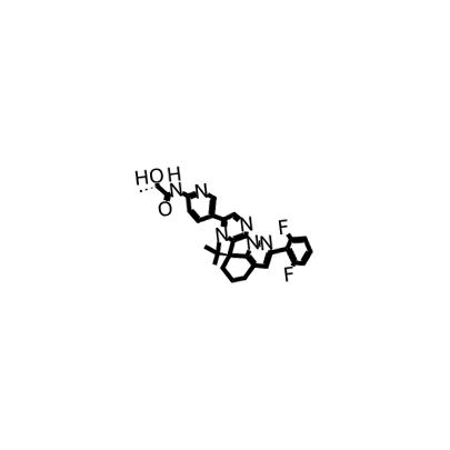 C[C@H](O)C(=O)Nc1ccc(-c2cncc([C@@]3(C(C)(C)C)CCCc4cc(-c5c(F)cccc5F)nnc43)n2)cn1